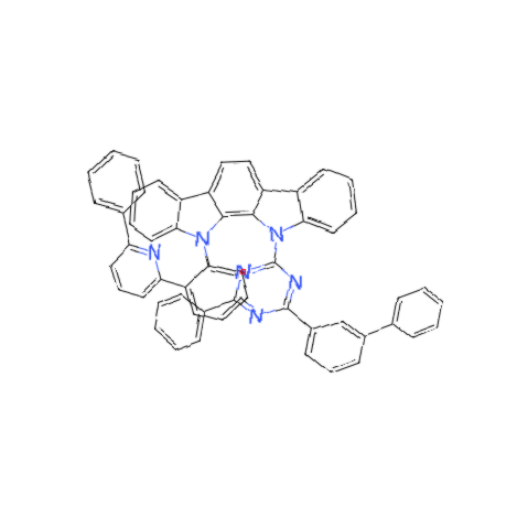 c1ccc(-c2cccc(-c3nc(-c4ccccc4)nc(-n4c5ccccc5c5ccc6c7ccccc7n(-c7ccccc7-c7cccc(-c8ccccc8)n7)c6c54)n3)c2)cc1